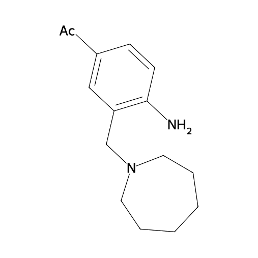 CC(=O)c1ccc(N)c(CN2CCCCCC2)c1